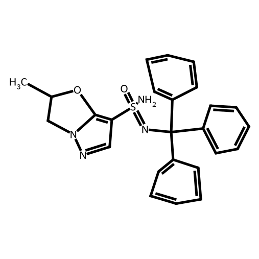 CC1Cn2ncc(S(N)(=O)=NC(c3ccccc3)(c3ccccc3)c3ccccc3)c2O1